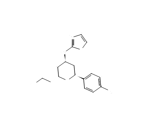 OCC[C@@H]1C[C@@H](Nc2nccs2)C[C@@H](c2ccc(Br)cc2)O1